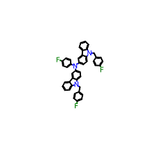 Fc1ccc(Cn2c3ccccc3c3cc(N(c4ccc(F)cc4)c4ccc5c(c4)c4ccccc4n5Cc4ccc(F)cc4)ccc32)cc1